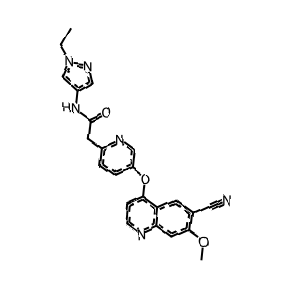 CCn1cc(NC(=O)Cc2ccc(Oc3ccnc4cc(OC)c(C#N)cc34)cn2)cn1